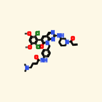 C=CC(=O)N1CCCC(Nc2ncc3cc(-c4c(Cl)c(OC)cc(OC)c4Cl)c(=O)n(Cc4ccc(NC(=O)/C=C/CN(C)C)cc4)c3n2)C1